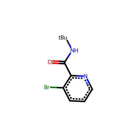 CC(C)(C)NC(=O)c1ncccc1Br